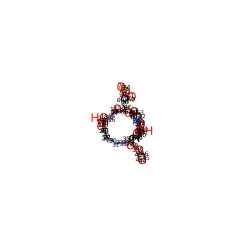 CO[C@@H]1C[C@H](C[C@@H](C)[C@@H]2CC(=O)[C@H](C)/C=C(\C)[C@@H](O)[C@@H](OC)C(=O)[C@H](C)C[C@H](C)/C=C/C=C/C=C(\C)C(OCCOC3CCOCC3)C[C@@H]3CC[C@@H](C)[C@@](O)(O3)C(=O)C(=O)N3CCCC[C@H]3C(=O)O2)CC[C@H]1OP(C)(C)=O